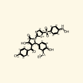 CCOc1cc(C2C(C(=O)c3ccc(Cl)cc3)=C(O)C(=O)N2c2ncc(S(=O)(=O)c3ccc(NO)cc3)s2)ccc1O